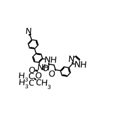 CC(C)(C)OC(=O)Nc1ccc(-c2ccc(C#N)cc2)cc1NC(=O)CC(=O)c1cccc(-c2ncc[nH]2)c1